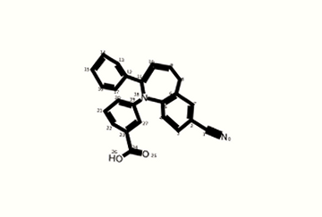 N#Cc1ccc2c(c1)CC=C=C(c1ccccc1)N2c1cccc(C(=O)O)c1